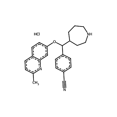 Cc1ccc2ccc(OC(c3ccc(C#N)cc3)C3CCCNCC3)cc2n1.Cl